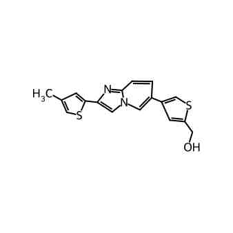 Cc1csc(-c2cn3cc(-c4csc(CO)c4)ccc3n2)c1